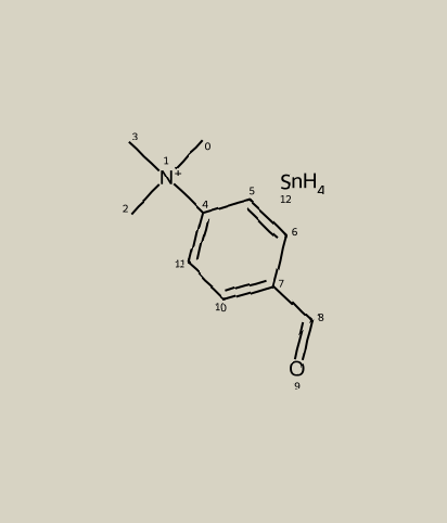 C[N+](C)(C)c1ccc(C=O)cc1.[SnH4]